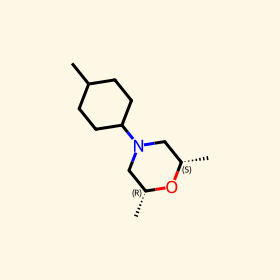 CC1CCC(N2C[C@@H](C)O[C@@H](C)C2)CC1